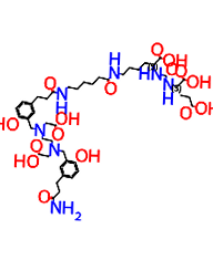 NC(=O)CCc1ccc(O)c(CN(CCN(CC(=O)O)Cc2cc(CCC(=O)NCCCCCC(=O)NCCCC[C@H](NC(=O)N[C@@H](CCC(=O)O)C(=O)O)C(=O)O)ccc2O)CC(=O)O)c1